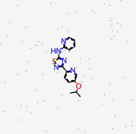 CC(C)Oc1ccc(-c2nsc(Nc3[c]cccn3)n2)nc1